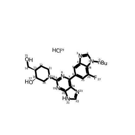 CCCCn1cnc2cc(-c3nc(N4CC[C@H](CO)[C@@H](O)C4)nc4[nH]cnc34)cc(F)c21.Cl